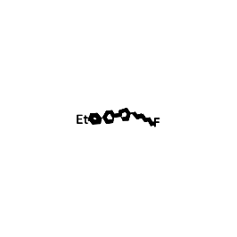 CCc1ccc([C@H]2CC[C@H]([C@H]3CC[C@H](CC=CCCCF)CC3)CC2)cc1